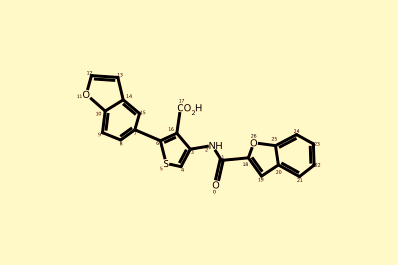 O=C(Nc1csc(-c2ccc3occc3c2)c1C(=O)O)c1cc2ccccc2o1